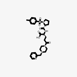 Cc1ccc(S(=O)(=O)N2CCC[C@@H]2C(=O)N[C@@H](CCC(=O)N2CCN(Cc3ccccn3)CC2)C(=O)O)cc1